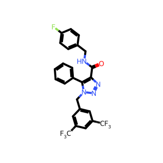 O=C(NCc1ccc(F)cc1)c1nnn(Cc2cc(C(F)(F)F)cc(C(F)(F)F)c2)c1-c1ccccc1